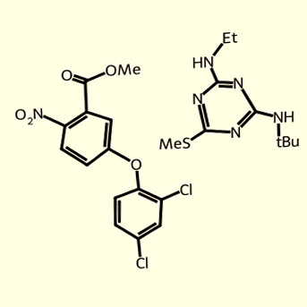 CCNc1nc(NC(C)(C)C)nc(SC)n1.COC(=O)c1cc(Oc2ccc(Cl)cc2Cl)ccc1[N+](=O)[O-]